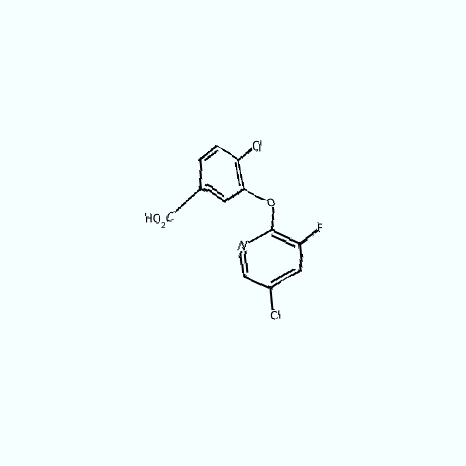 O=C(O)c1ccc(Cl)c(Oc2ncc(Cl)cc2F)c1